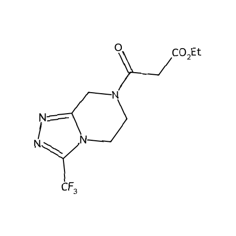 CCOC(=O)CC(=O)N1CCn2c(nnc2C(F)(F)F)C1